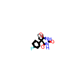 CCC1(c2ccc(F)cc2)C(=O)NC(=O)NC1=O